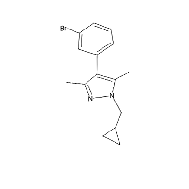 Cc1nn(CC2CC2)c(C)c1-c1cccc(Br)c1